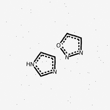 c1c[nH]cn1.c1conn1